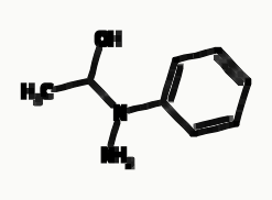 CC(O)N(N)c1ccccc1